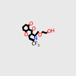 O=C1CCCC(=O)C1C(=O)C1CC=C(C(F)(F)F)N=C1COCCO